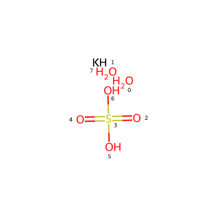 O.O.O=S(=O)(O)O.[KH]